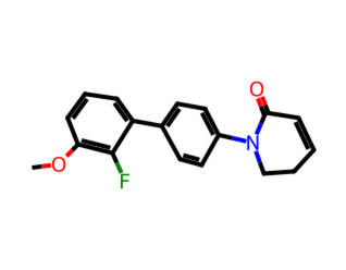 COc1cccc(-c2ccc(N3CCC=CC3=O)cc2)c1F